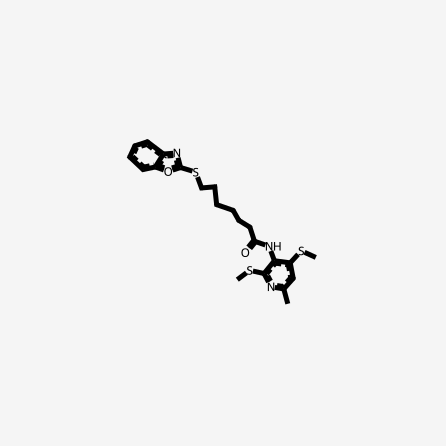 CSc1cc(C)nc(SC)c1NC(=O)CCCCCCSc1nc2ccccc2o1